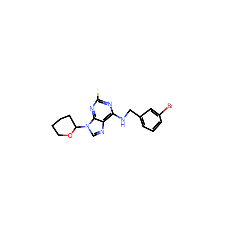 Fc1nc(NCc2cccc(Br)c2)c2ncn(C3CCCCO3)c2n1